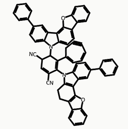 N#CC1=CC(C#N)C(n2c3ccc(-c4ccccc4)cc3c3c4oc5ccccc5c4ccc32)C(C2=CC=CC#CC2)=C1n1c2c(c3cc(-c4ccccc4)ccc31)-c1oc3ccccc3c1CC2